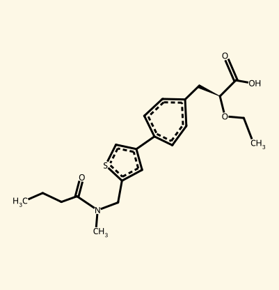 CCCC(=O)N(C)Cc1cc(-c2ccc(C[C@H](OCC)C(=O)O)cc2)cs1